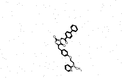 CN(CCOc1ccc(CC2SC(=O)N(CC(=O)c3ccc(-c4ccccc4)cc3)C2=O)cc1)c1ccccn1